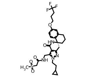 CS(=O)(=O)CC(=O)NCc1c2c(nn1CCC1CC1)C[C@]1(CCCc3cc(OCCCC(F)(F)F)ccc31)NC2=O